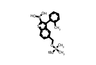 Cc1ccccc1-c1c(B(O)O)sc2ccc(CO[Si](C)(C)C(C)(C)C)cc12